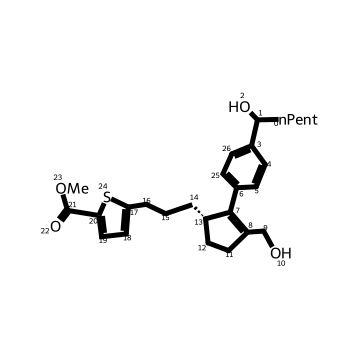 CCCCCC(O)c1ccc(C2=C(CO)CC[C@@H]2CCCc2ccc(C(=O)OC)s2)cc1